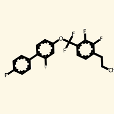 CCCc1ccc(C(F)(F)Oc2ccc(-c3ccc(F)cc3)c(F)c2)c(F)c1F